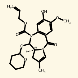 C=CCOC(=O)N1c2cc(O)c(OC)cc2C(=O)N2C=C(C)C[C@H]2C1OC1CCCCO1